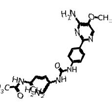 C=C(/C=C\C(=C/N)NC(=O)Nc1ccc(-c2ncc(OC)c(N)n2)cc1)NC(C)=O